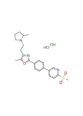 Cc1oc(-c2ccc(-c3ccc(S(C)(=O)=O)nc3)cc2)nc1CCN1CCCC1C.Cl.Cl